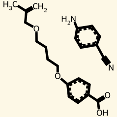 C=C(C)COCCCCOc1ccc(C(=O)O)cc1.N#Cc1ccc(N)cc1